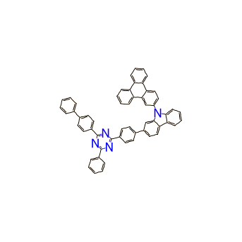 c1ccc(-c2ccc(-c3nc(-c4ccccc4)nc(-c4ccc(-c5ccc6c7ccccc7n(-c7ccc8c9ccccc9c9ccccc9c8c7)c6c5)cc4)n3)cc2)cc1